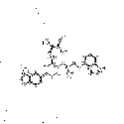 Cc1csc2ccc(C3CCN(C[C@H](O)COc4cccc5[nH]ccc45)C(C)C3)cc12.O=C(O)C(=O)O